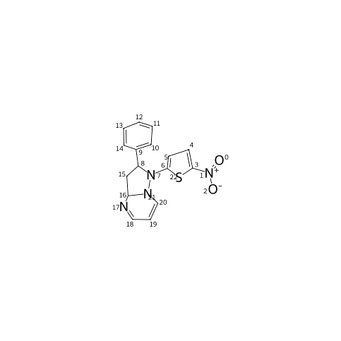 O=[N+]([O-])c1ccc(N2C(c3ccccc3)CC3N=CC=CN32)s1